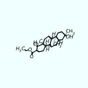 CCOC(=O)C1CC[C@H]2[C@@H]3CC[C@@H]4C[C@](C)(O)CC[C@]4(CC)[C@H]3CC[C@]2(C)C1=O